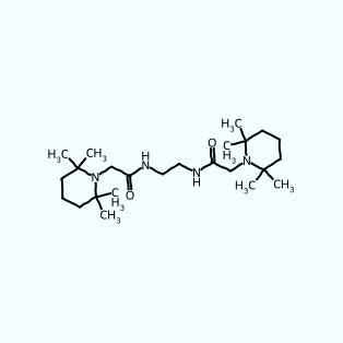 CC1(C)CCCC(C)(C)N1CC(=O)NCCNC(=O)CN1C(C)(C)CCCC1(C)C